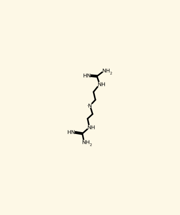 N=C(N)NCC[N]CCNC(=N)N